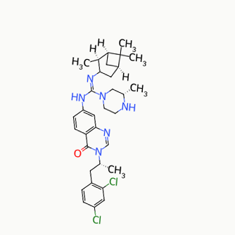 C[C@@H]1C(/N=C(/Nc2ccc3c(=O)n([C@H](C)Cc4ccc(Cl)cc4Cl)cnc3c2)N2CCN[C@@H](C)C2)C[C@H]2C[C@@H]1C2(C)C